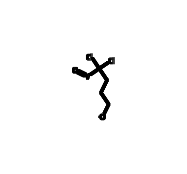 [O]CCC[C](Cl)(Cl)[V]=[O]